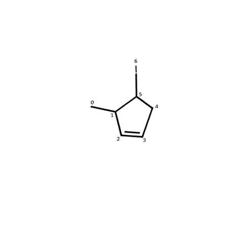 CC1C=CCC1I